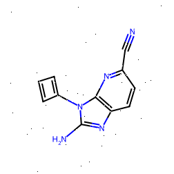 N#Cc1ccc2nc(N)n(C3=CC=C3)c2n1